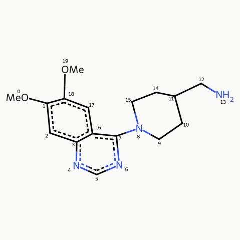 COc1cc2ncnc(N3CCC(CN)CC3)c2cc1OC